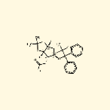 CC1(C)O[C@H]2[C@@H](CC(=O)O)[C@H](O[Si](c3ccccc3)(c3ccccc3)C(C)(C)C)C[C@H]2O1